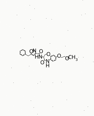 COCCOc1ccc2c(c1)OC[C@H](NC(=O)c1cc(Cc3ccccc3)on1)C(=O)N2